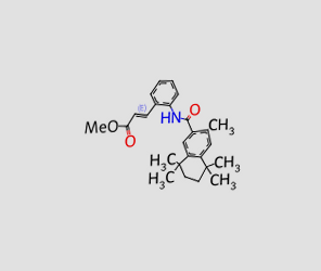 COC(=O)/C=C/c1ccccc1NC(=O)c1cc2c(cc1C)C(C)(C)CCC2(C)C